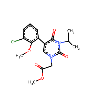 COC(=O)Cn1cc(-c2cccc(Cl)c2OC)c(=O)n(C(C)C)c1=O